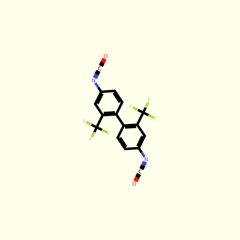 O=C=Nc1ccc(-c2ccc(N=C=O)cc2C(F)(F)F)c(C(F)(F)F)c1